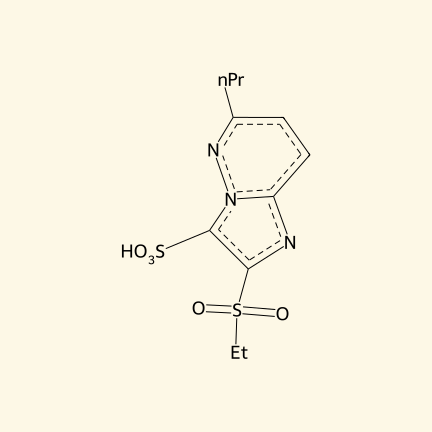 CCCc1ccc2nc(S(=O)(=O)CC)c(S(=O)(=O)O)n2n1